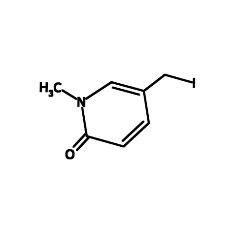 Cn1cc(CI)ccc1=O